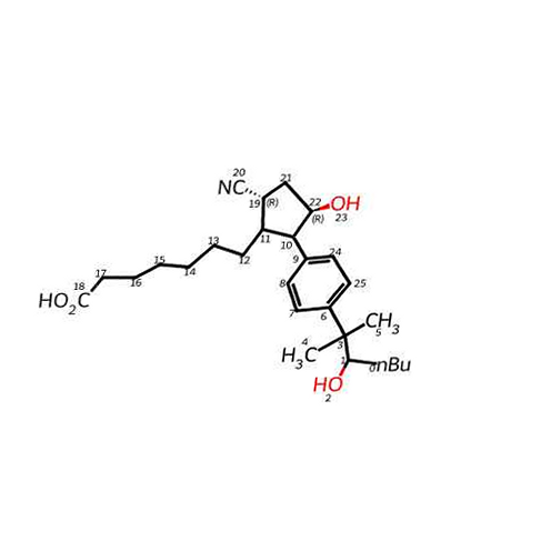 CCCCC(O)C(C)(C)c1ccc(C2C(CCCCCCC(=O)O)[C@H](C#N)C[C@H]2O)cc1